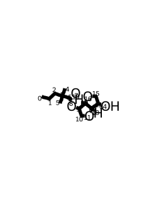 CCCC(C)(C)C(=O)OC1CO[C@@H]2C(O)CO[C@H]12